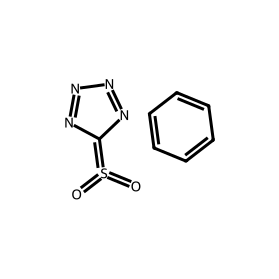 O=S(=O)=C1N=NN=N1.c1ccccc1